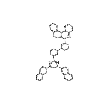 c1cc(-c2cccc(-c3nc4ccccc4c4c3ccc3ccccc34)c2)cc(-c2nc(-c3ccc4ccccc4c3)cc(-c3ccc4ccccc4c3)n2)c1